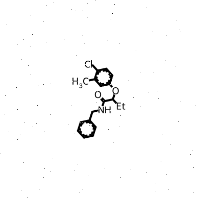 CCC(Oc1ccc(Cl)c(C)c1)C(=O)NCc1ccccc1